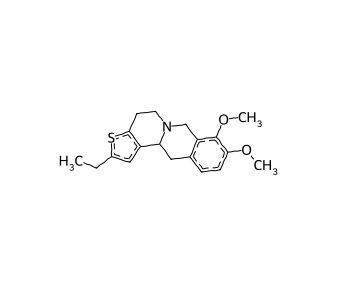 CCc1cc2c(s1)CCN1Cc3c(ccc(OC)c3OC)CC21